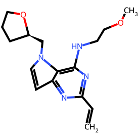 C=Cc1nc(NCCOC)c2c(ccn2C[C@H]2CCCO2)n1